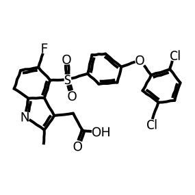 CC1=C(CC(=O)O)C2=C(S(=O)(=O)c3ccc(Oc4cc(Cl)ccc4Cl)cc3)C(F)=CCC2=N1